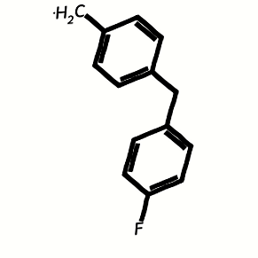 [CH2]c1ccc(Cc2ccc(F)cc2)cc1